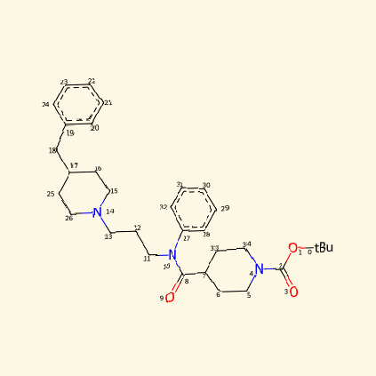 CC(C)(C)OC(=O)N1CCC(C(=O)N(CCCN2CCC(Cc3ccccc3)CC2)c2ccccc2)CC1